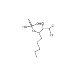 CCCCCC(OP(O)(O)=S)C(Cl)C(Cl)Cl